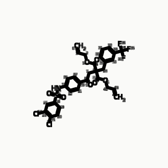 C=CCOC(=O)C(CC(=O)c1ccc(NS(=O)(=O)c2ccc(Cl)c(Cl)c2)cc1)(Cc1cccc(C(F)(F)F)c1)C(=O)OCC=C